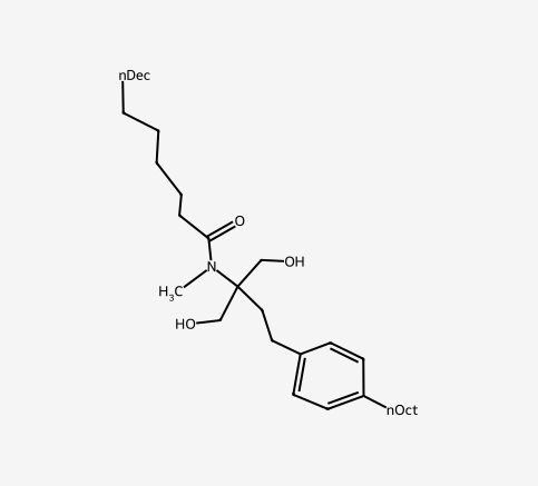 CCCCCCCCCCCCCCCC(=O)N(C)C(CO)(CO)CCc1ccc(CCCCCCCC)cc1